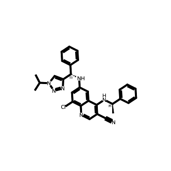 CC(C)n1cc([C@@H](Nc2cc(Cl)c3ncc(C#N)c(N[C@H](C)c4ccccc4)c3c2)c2ccccc2)nn1